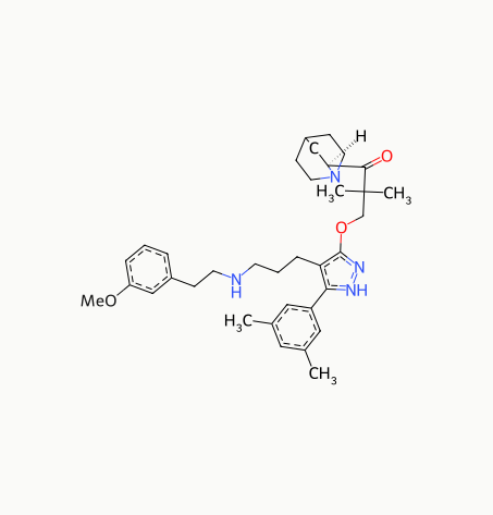 COc1cccc(CCNCCCc2c(OCC(C)(C)C(=O)[C@@H]3CC4CCN3CC4)n[nH]c2-c2cc(C)cc(C)c2)c1